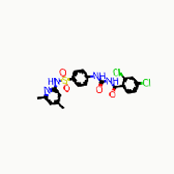 Cc1cc(C)nc(NS(=O)(=O)c2ccc(NC(=O)NC(=O)c3ccc(Cl)cc3Cl)cc2)c1